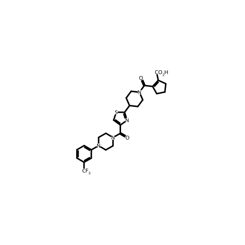 O=C(O)C1=C(C(=O)N2CCC(c3nc(C(=O)N4CCN(c5cccc(C(F)(F)F)c5)CC4)cs3)CC2)CCC1